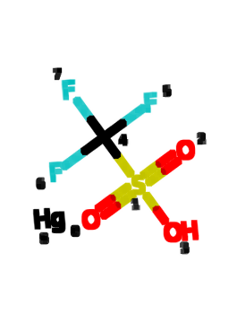 O=S(=O)(O)C(F)(F)F.[Hg]